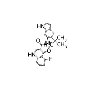 CC(C)(C)c1cc2cc[nH]c2cc1NC(=O)c1c[nH]c2cccc(F)c2c1=O